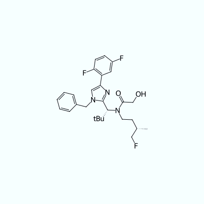 C[C@H](CF)CCN(C(=O)CO)[C@@H](c1nc(-c2cc(F)ccc2F)cn1Cc1ccccc1)C(C)(C)C